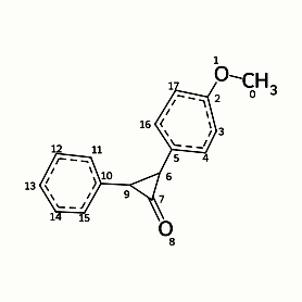 COc1ccc(C2C(=O)C2c2ccccc2)cc1